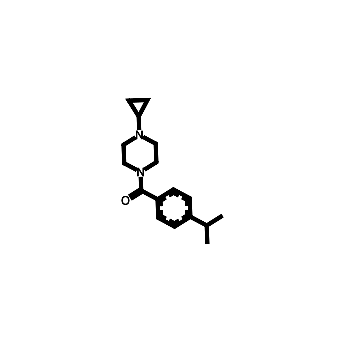 CC(C)c1ccc(C(=O)N2CCN(C3CC3)CC2)cc1